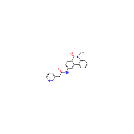 CC(C)n1c(=O)c2ccc(NC(=O)Cc3cccnc3)cc2c2ccccc21